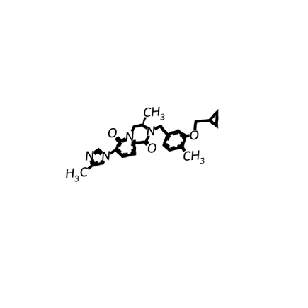 Cc1cn(-c2ccc3n(c2=O)C[C@@H](C)N(Cc2ccc(C)c(OCC4CC4)c2)C3=O)cn1